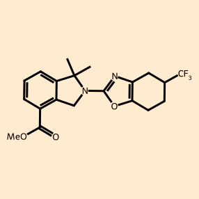 COC(=O)c1cccc2c1CN(c1nc3c(o1)CCC(C(F)(F)F)C3)C2(C)C